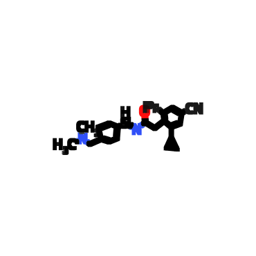 CC(C)c1cc(C#N)cc(C2CC2)c1CC(=O)/N=[SiH]/c1ccc(CN(C)C)cc1